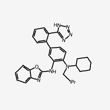 CC(C)CN(c1ccc(-c2ccccc2-c2nnn[nH]2)cc1Nc1nc2ccccc2o1)C1CCCCC1